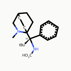 CN1CC2CCC1([C@@](NC(=O)O)(c1ccccc1)C(C)(C)C)CC2